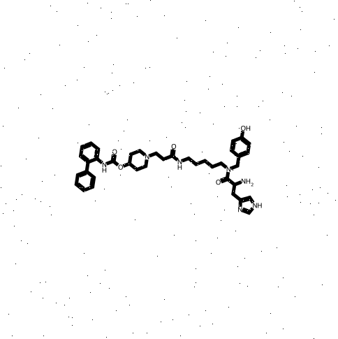 NC(Cc1c[nH]cn1)C(=O)N(CCCCCNC(=O)CCN1CCC(OC(=O)Nc2ccccc2-c2ccccc2)CC1)Cc1ccc(O)cc1